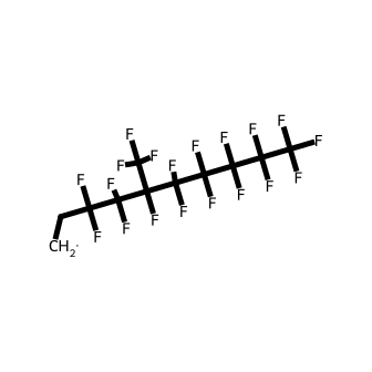 [CH2]CC(F)(F)C(F)(F)C(F)(C(F)(F)F)C(F)(F)C(F)(F)C(F)(F)C(F)(F)C(F)(F)F